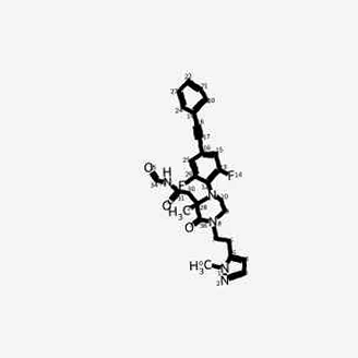 Cn1nccc1CCN1CCN(c2c(F)cc(C#Cc3ccccc3)cc2F)C(C)(CC(=O)NC=O)C1=O